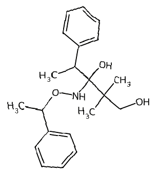 CC(ONC(O)(C(C)c1ccccc1)C(C)(C)CO)c1ccccc1